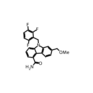 COCc1c[c]c2c3c(C(N)=O)cccc3n(Cc3c(F)ccc(F)c3F)c2c1